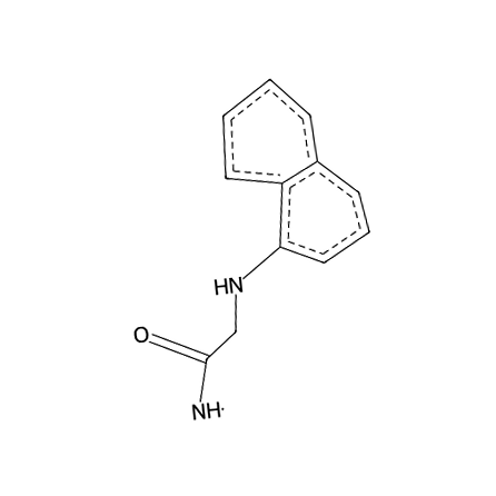 [NH]C(=O)CNc1cccc2ccccc12